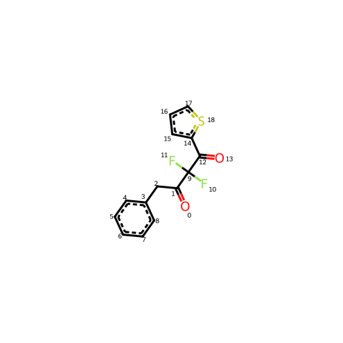 O=C(Cc1ccccc1)C(F)(F)C(=O)c1cccs1